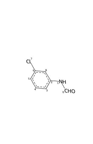 O=CNc1cccc(Cl)c1